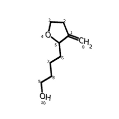 C=C1CCOC1CCCCO